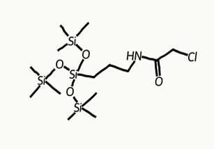 C[Si](C)(C)O[Si](CCCNC(=O)CCl)(O[Si](C)(C)C)O[Si](C)(C)C